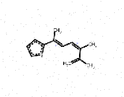 C=C(C)/C(C)=C\C=C(/C)c1cccs1